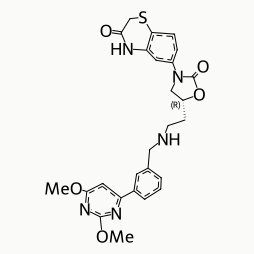 COc1cc(-c2cccc(CNCC[C@@H]3CN(c4ccc5c(c4)NC(=O)CS5)C(=O)O3)c2)nc(OC)n1